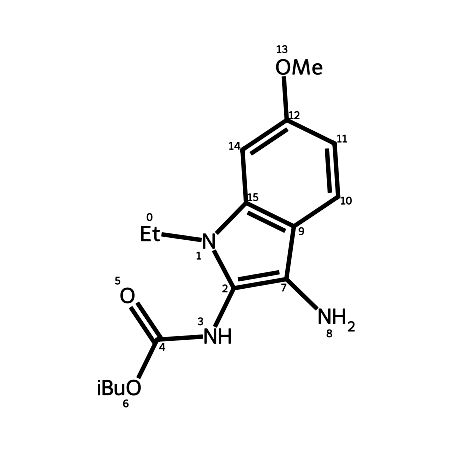 CCn1c(NC(=O)OCC(C)C)c(N)c2ccc(OC)cc21